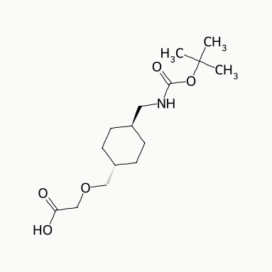 CC(C)(C)OC(=O)NC[C@H]1CC[C@H](COCC(=O)O)CC1